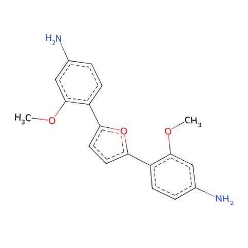 COc1cc(N)ccc1-c1ccc(-c2ccc(N)cc2OC)o1